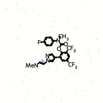 CN/C=C/n1cc(-c2cc(C(F)(F)F)cc(C(F)(F)F)c2OC(=O)N(C)c2ccc(F)cc2)cn1